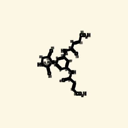 O=C(O)C=CC(=O)Nc1cccc(NC(=O)C=CC(=O)O)c1.O=C1CNC(=O)N1